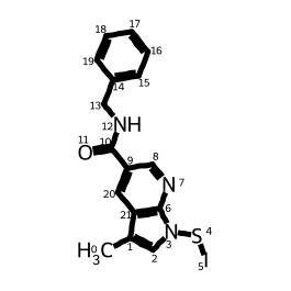 Cc1cn(SI)c2ncc(C(=O)NCc3ccccc3)cc12